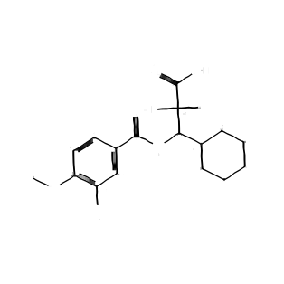 COc1ccc(C(=O)OC(C2CCCCC2)C(F)(F)C(=O)O)cc1I